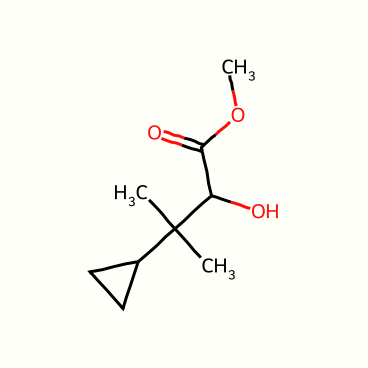 COC(=O)C(O)C(C)(C)C1CC1